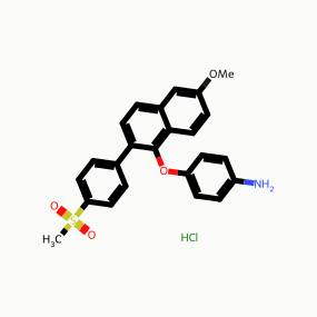 COc1ccc2c(Oc3ccc(N)cc3)c(-c3ccc(S(C)(=O)=O)cc3)ccc2c1.Cl